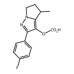 CC1CCn2nc(-c3ccc(F)cc3)c(OC(=O)O)c21